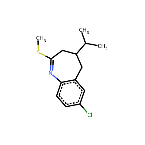 [CH2]C(C)C1CC(SC)=Nc2ccc(Cl)cc2C1